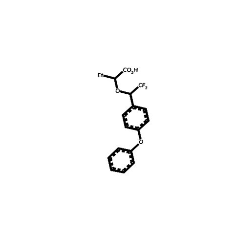 CCC(OC(c1ccc(Oc2ccccc2)cc1)C(F)(F)F)C(=O)O